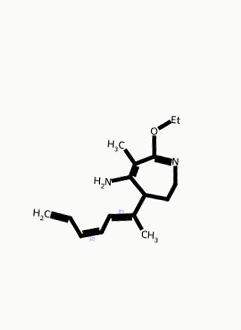 C=C/C=C\C=C(/C)C1CCN=C(OCC)C(C)=C1N